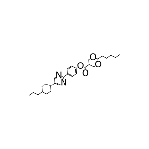 CCCCCC1OCC(C(=O)Oc2ccc(-c3ncc(C4CCC(CCC)CC4)cn3)cc2)CO1